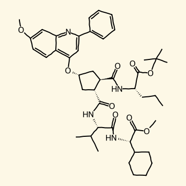 CCC[C@H](NC(=O)[C@@H]1C[C@@H](Oc2cc(-c3ccccc3)nc3cc(OC)ccc23)C[C@H]1C(=O)N[C@H](C(=O)N[C@H](C(=O)OC)C1CCCCC1)C(C)C)C(=O)OC(C)(C)C